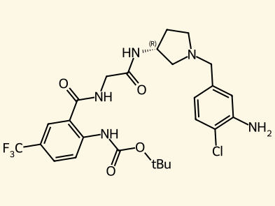 CC(C)(C)OC(=O)Nc1ccc(C(F)(F)F)cc1C(=O)NCC(=O)N[C@@H]1CCN(Cc2ccc(Cl)c(N)c2)C1